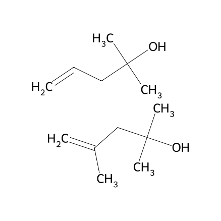 C=C(C)CC(C)(C)O.C=CCC(C)(C)O